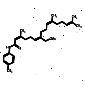 CC(=O)OCC(=CCCC(C)=CC(=O)Nc1ccc(C)cc1)CCC=C(C)CCC=C(C)C